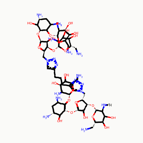 [2H]NC1C(O)C(O)[C@H](CN)O[C@@H]1O[C@@H]1C(O)[C@H](O[C@H]2C(O[C@H]3OC(CN)C(O)[C@H](O)C3N)C(N)C[C@@H](N)C2O)O[C@@H]1Cn1cc(CCCc2cn(C[C@H]3O[C@@H](O[C@H]4C(O[C@H]5OC(CN)C(O)[C@H](O)C5N)C(N)C[C@@H](N)C4O)C(O)[C@H]3O[C@H]3O[C@@H](CN)C(O)C(O)C3N)nn2)nn1